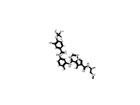 COC[C@H](C)NC(=O)c1cn2ncnc(Nc3cc(NC(=O)c4ccc(OC(F)(F)F)c(F)c4)ccc3C)c2c1C